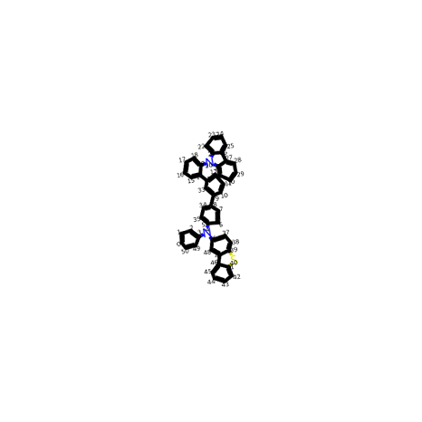 c1ccc(N(c2ccc(-c3cccc(-c4ccccc4-n4c5ccccc5c5ccccc54)c3)cc2)c2ccc3sc4ccccc4c3c2)cc1